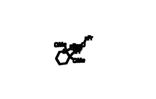 CCCC1(OC)CCCC[Si]1(OC)OC.CCCOCCC